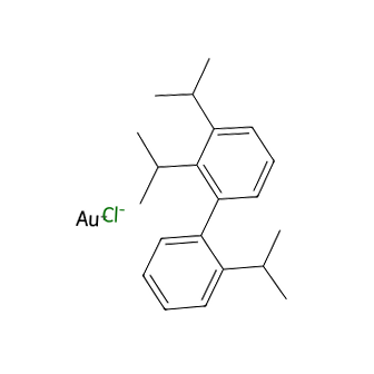 CC(C)c1ccccc1-c1cccc(C(C)C)c1C(C)C.[Au+].[Cl-]